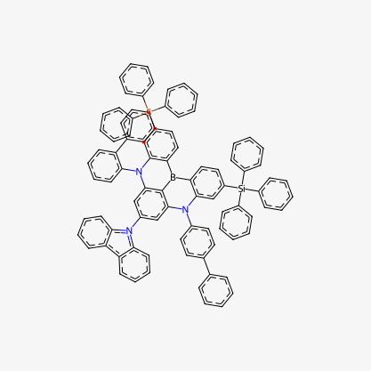 c1ccc(-c2ccc(N3c4cc([Si](c5ccccc5)(c5ccccc5)c5ccccc5)ccc4B4c5ccc(S(c6ccccc6)(c6ccccc6)c6ccccc6)cc5N(c5ccccc5-c5ccccc5)c5cc(-n6c7ccccc7c7ccccc76)cc3c54)cc2)cc1